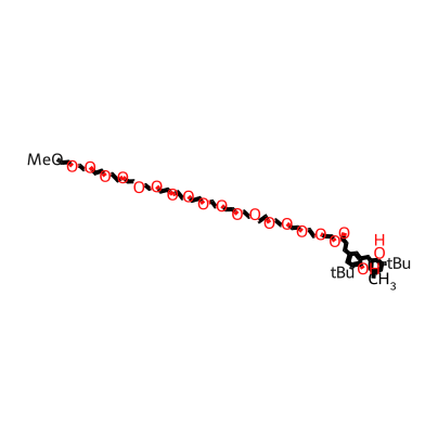 COCCOCCOCCOCCOCCOCCOCCOCCOCCOCCOCCOCCOCCOCCOCCOCCOCCOC(=O)CCc1cc(Cc2cc(C)cc(C(C)(C)C)c2O)c(O)c(C(C)(C)C)c1